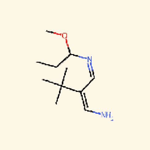 CCC(/N=C\C(=C/N)C(C)(C)C)OC